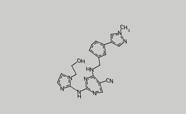 Cn1cc(-c2cccc(CNc3nc(Nc4nccn4CCO)ncc3C#N)c2)cn1